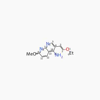 CCOC=Cc1cnc2nc(OC)ccc2c1N